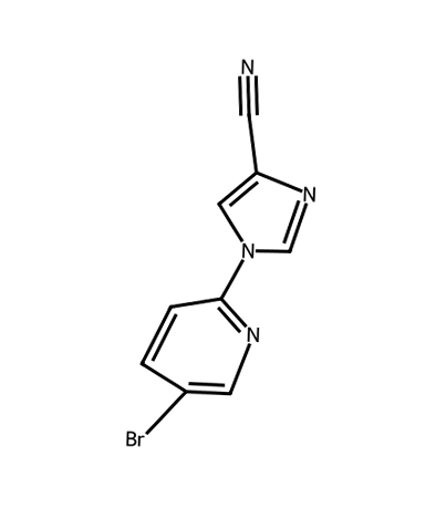 N#Cc1cn(-c2ccc(Br)cn2)cn1